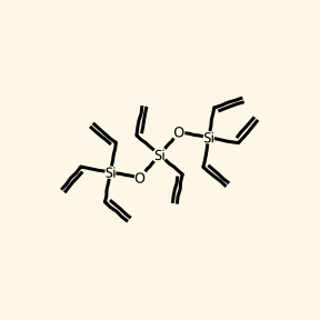 C=C[Si](C=C)(C=C)O[Si](C=C)(C=C)O[Si](C=C)(C=C)C=C